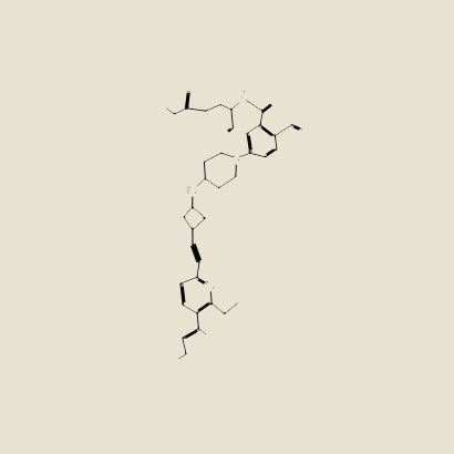 CC/C=C(\C)c1ccc(C#CC2CC(NC3CCN(c4ccc(C=O)c(C(=O)N(C)C(C=O)CCC(=O)CC)c4)CC3)C2)nc1CC